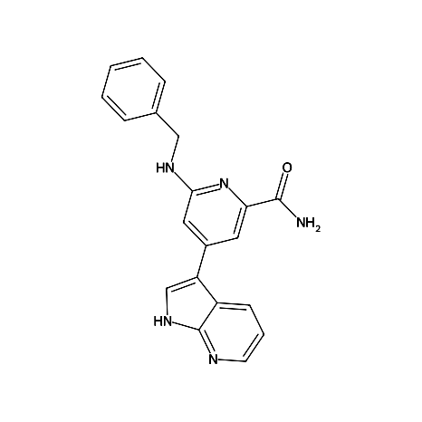 NC(=O)c1cc(-c2c[nH]c3ncccc23)cc(NCc2ccccc2)n1